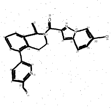 CC1c2cccc(-c3ccc(F)nc3)c2CCN1C(=O)c1cc2ccc(Cl)cn2n1